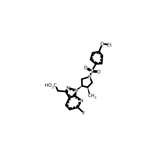 CCOc1ccc(S(=O)(=O)N2C[C@@H](C)[C@@H](n3nc(CC(=O)O)c4ccc(F)nc43)C2)cc1